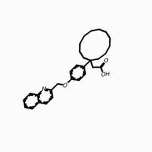 O=C(O)CC1(c2ccc(OCc3ccc4ccccc4n3)cc2)CCCCCCCCCCC1